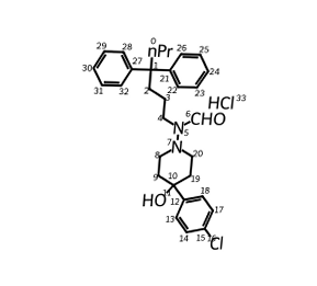 CCCC(CCCN(C=O)N1CCC(O)(c2ccc(Cl)cc2)CC1)(c1ccccc1)c1ccccc1.Cl